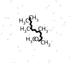 C=C(CCCC(C)CCCC(C)CCCC(C)C)COC